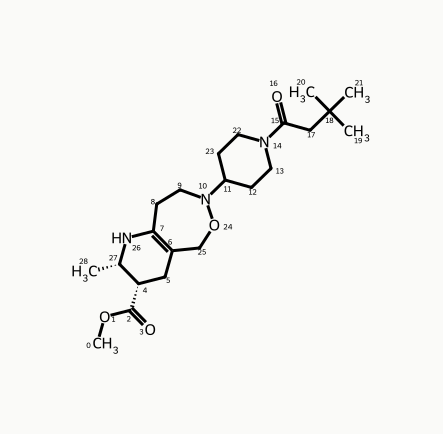 COC(=O)[C@H]1CC2=C(CCN(C3CCN(C(=O)CC(C)(C)C)CC3)OC2)N[C@H]1C